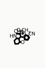 CC1=C(S(C)(=O)=O)C(c2cccc(C#N)c2)C2=C(CCCC2=O)N1